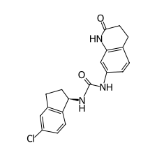 O=C1CCc2ccc(NC(=O)N[C@@H]3CCc4cc(Cl)ccc43)cc2N1